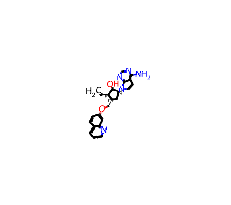 C=C[C@@H]1[C@@H](COc2ccc3cccnc3c2)C[C@@H](n2ccc3c(N)ncnc32)[C@@H]1O